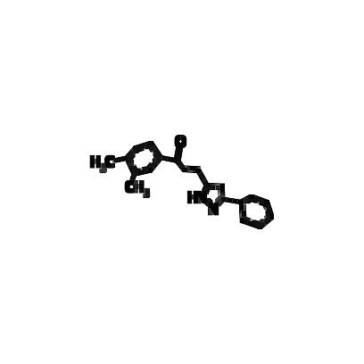 Cc1ccc(C(=O)/C=C/c2cc(-c3ccccc3)n[nH]2)cc1C